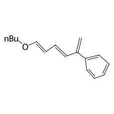 [CH2]CCCOC=CC=CC(=C)c1ccccc1